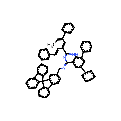 C\C=C(/C=C(\C=C\c1ccccc1)C(/N)=N/C(=N\Cc1ccc2c(c1)C1(c3ccccc3-c3ccccc31)c1ccccc1-2)c1cc(-c2ccccc2)cc(-c2ccccc2)c1)c1ccccc1